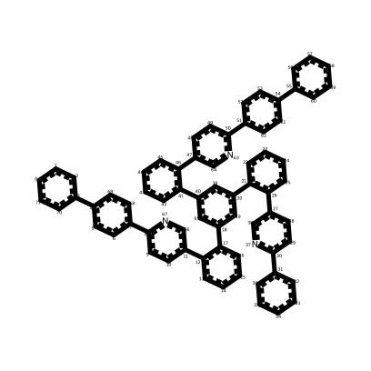 c1ccc(-c2ccc(-c3ccc(-c4ccccc4-c4cc(-c5ccccc5-c5ccc(-c6ccccc6)nc5)cc(-c5ccccc5-c5ccc(-c6ccc(-c7ccccc7)cc6)nc5)c4)cn3)cc2)cc1